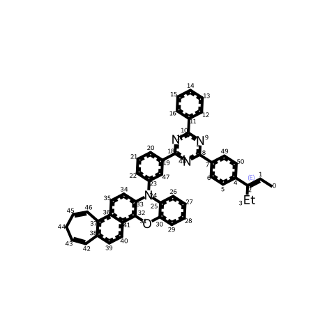 C/C=C(\CC)c1ccc(-c2nc(-c3ccccc3)nc(-c3cccc(N4c5ccccc5Oc5c4ccc4c6c(ccc54)C=CCC=C6)c3)n2)cc1